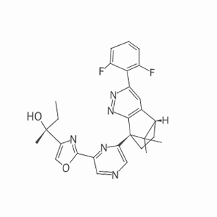 CC[C@@](C)(O)c1coc(-c2cncc([C@@]34CC[C@@H](c5cc(-c6c(F)cccc6F)nnc53)C4(C)C)n2)n1